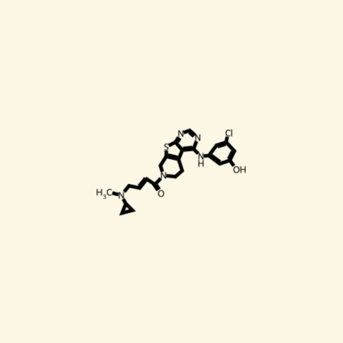 CN(CC=CC(=O)N1CCc2c(sc3ncnc(Nc4cc(O)cc(Cl)c4)c23)C1)C1CC1